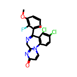 COc1ccc(F)c(C2=NCc3nc(=O)ccn3-c3ccc(Cl)c(Cl)c32)c1F